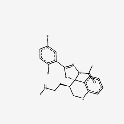 CNCC[C@@H]1COc2ccccc2[C@@]12SC(c1cc(F)ccc1F)=NN2C(C)=O